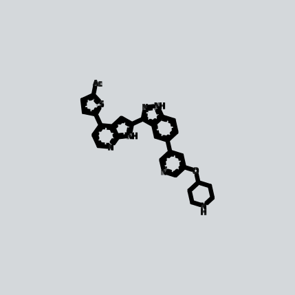 CC(=O)c1ccc(-c2ccnc3[nH]c(-c4n[nH]c5ccc(-c6cncc(OC7CCNCC7)c6)cc45)cc23)s1